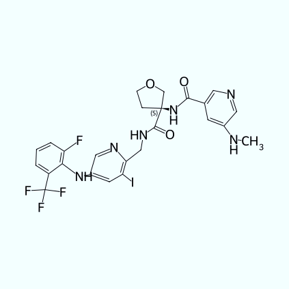 CNc1cncc(C(=O)N[C@@]2(C(=O)NCc3ncc(Nc4c(F)cccc4C(F)(F)F)cc3I)CCOC2)c1